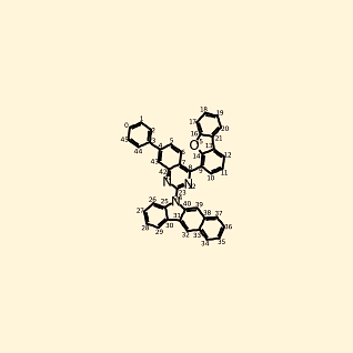 c1ccc(-c2ccc3c(-c4cccc5c4oc4ccccc45)nc(-n4c5ccccc5c5cc6ccccc6cc54)nc3c2)cc1